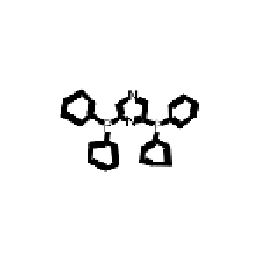 c1ccc(P(c2ccccc2)c2cncc(P(c3ccccc3)c3ccccc3)n2)cc1